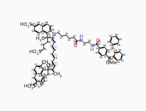 C=C(/C=C/C=C/C=C/C=C1/N(CCCCCC(=O)NCCNC(=O)c2ccc(C(=O)OC)c(P(c3ccccc3)c3ccccc3)c2)c2ccc3cc(S(=O)(=O)O)ccc3c2C1(C)CCCS(=O)(=O)O)C(C)(CCCS(=O)(=O)O)c1c(C)ccc2cc(S(=O)(=O)O)ccc12